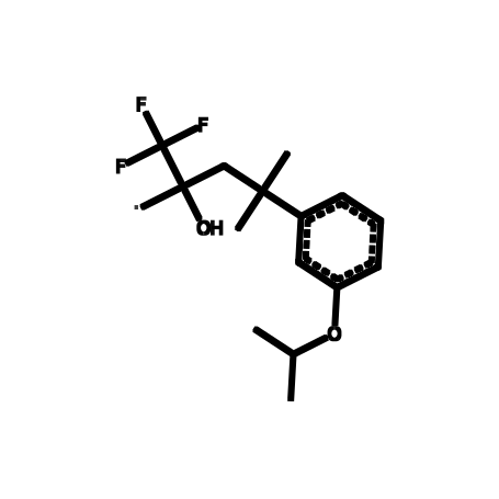 [CH2]C(O)(CC(C)(C)c1cccc(OC(C)C)c1)C(F)(F)F